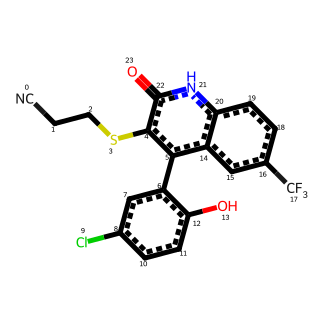 N#CCCSc1c(-c2cc(Cl)ccc2O)c2cc(C(F)(F)F)ccc2[nH]c1=O